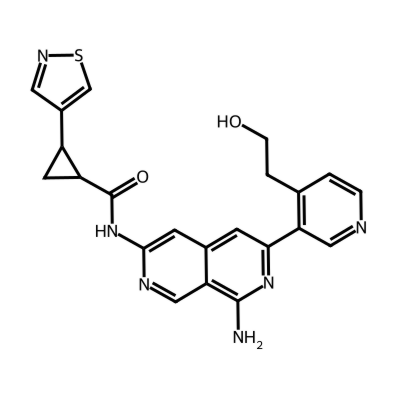 Nc1nc(-c2cnccc2CCO)cc2cc(NC(=O)C3CC3c3cnsc3)ncc12